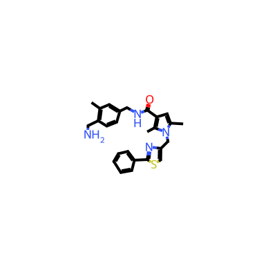 Cc1cc(CNC(=O)c2cc(C)n(Cc3csc(-c4ccccc4)n3)c2C)ccc1CN